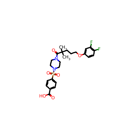 CC(C)(CCCOc1ccc(F)c(F)c1)C(=O)N1CCN(S(=O)(=O)c2ccc(C(=O)O)cc2)CC1